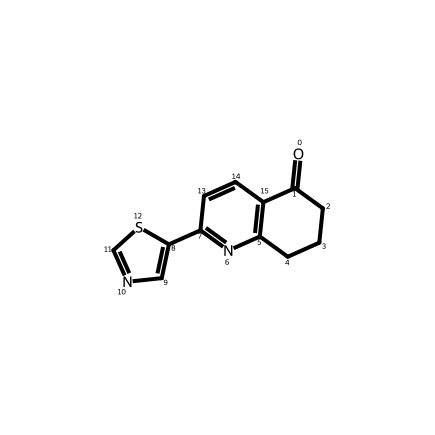 O=C1CCCc2nc(-c3cncs3)ccc21